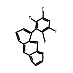 Fc1cc(F)c(F)c(-c2cccc3cc4ccccc4cc23)c1F